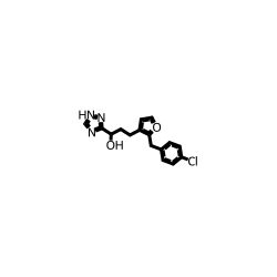 OC(CCc1ccoc1Cc1ccc(Cl)cc1)c1nc[nH]n1